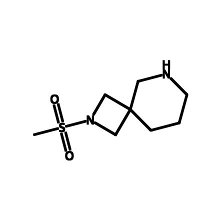 CS(=O)(=O)N1CC2(CCCNC2)C1